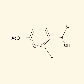 CC(=O)Oc1ccc(B(O)O)c(F)c1